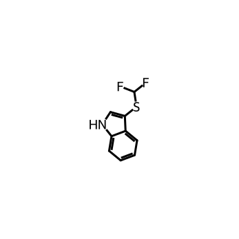 FC(F)Sc1c[nH]c2ccccc12